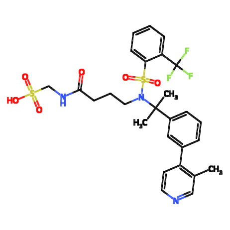 Cc1cnccc1-c1cccc(C(C)(C)N(CCCC(=O)NCS(=O)(=O)O)S(=O)(=O)c2ccccc2C(F)(F)F)c1